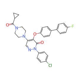 O=C(C1CC1)N1CCN(c2cnn(-c3ccc(Cl)cc3)c(=O)c2Oc2ccc(-c3ccc(F)cc3)cc2)CC1